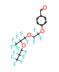 O=Cc1ccc(OC(F)(F)C(F)OC(F)(F)C(F)(OC(F)(F)C(F)(F)C(F)(F)F)C(F)(F)F)cc1